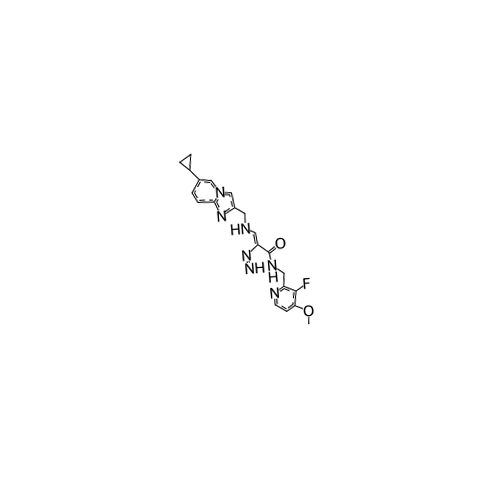 COc1ccnc(CNC(=O)/C(=C/NCc2cn3cc(C4CC4)ccc3n2)N=N)c1F